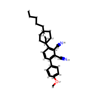 CCCCCC12CCC(c3ccc(-c4ccc(OC)cc4)c(C#N)c3C#N)(CC1)CC2